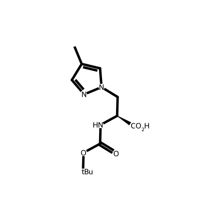 Cc1cnn(C[C@H](NC(=O)OC(C)(C)C)C(=O)O)c1